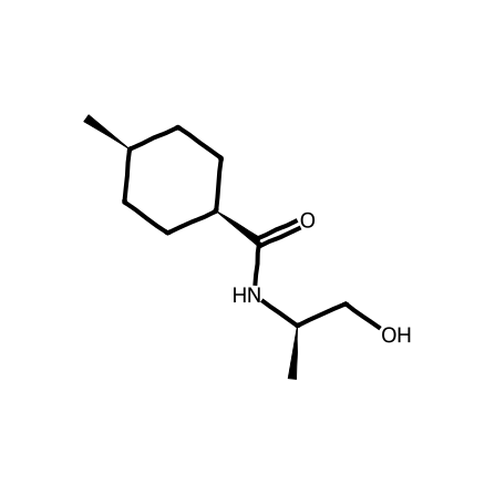 C[C@H](CO)NC(=O)[C@H]1CC[C@@H](C)CC1